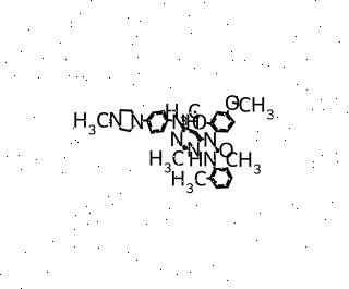 COc1ccc(N(C(=O)Nc2c(C)cccc2C)c2cc(Nc3ccc(N4CCN(C)CC4)cc3)nc(C)n2)c(OC)c1